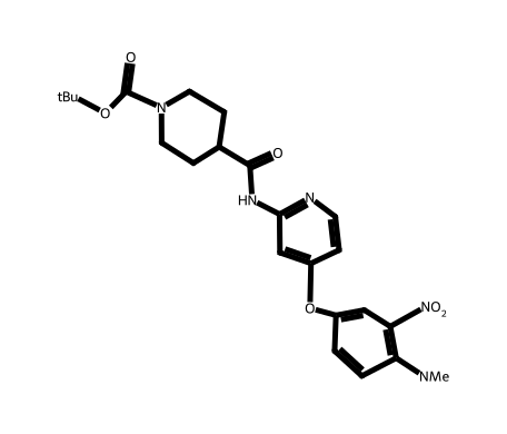 CNc1ccc(Oc2ccnc(NC(=O)C3CCN(C(=O)OC(C)(C)C)CC3)c2)cc1[N+](=O)[O-]